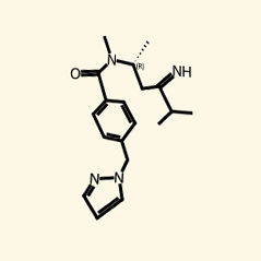 CC(C)C(=N)C[C@@H](C)N(C)C(=O)c1ccc(Cn2cccn2)cc1